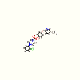 O=C(Oc1ccc(Oc2ccc(C(F)(F)F)cn2)cc1)N1CCN(c2ccccc2Cl)CC1